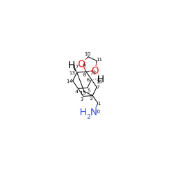 NCC12CC3C[C@H](C1)C1(OCCO1)[C@@H](C3)C2